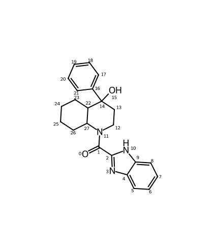 O=C(c1nc2ccccc2[nH]1)N1CCC(O)(c2ccccc2)C2CCCCC21